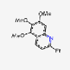 CCc1ccc2c(OC)c(OC)c(OC)cc2n1